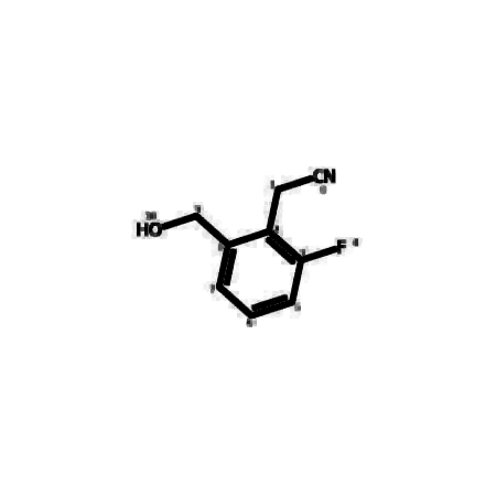 N#CCc1c(F)cccc1CO